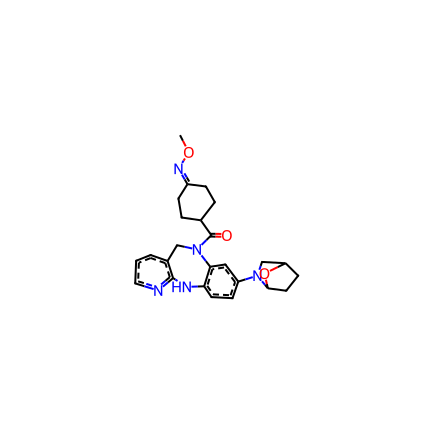 CON=C1CCC(C(=O)N2Cc3cccnc3Nc3ccc(N4CC5CCC4O5)cc32)CC1